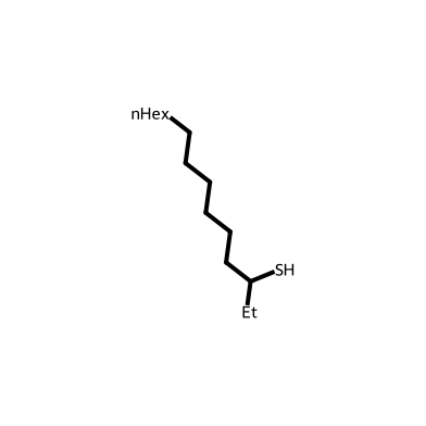 CCCCCCCCCCCCC(S)CC